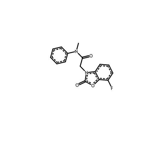 CN(C(=O)Cn1c(=O)oc2c(F)cccc21)c1ccccc1